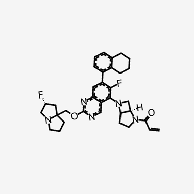 C=CC(=O)N1CCC2[C@H]1CN2c1c(F)c(-c2cccc3c2CCCC3)cc2nc(OCC34CCCN3C[C@H](F)C4)ncc12